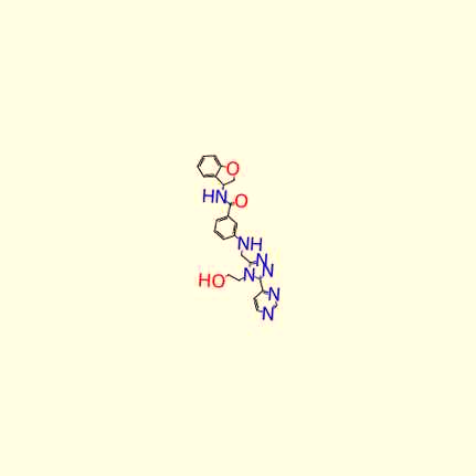 O=C(N[C@@H]1COc2ccccc21)c1cccc(NCc2nnc(-c3ccncn3)n2CCO)c1